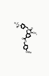 COc1ccc(COC(=O)c2ccc3c(c2)CN(Cc2ccc([S+](C)[O-])cc2)C(=O)N3C)cc1